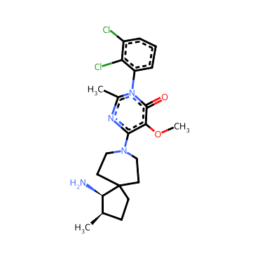 COc1c(N2CCC3(CC[C@@H](C)[C@H]3N)CC2)nc(C)n(-c2cccc(Cl)c2Cl)c1=O